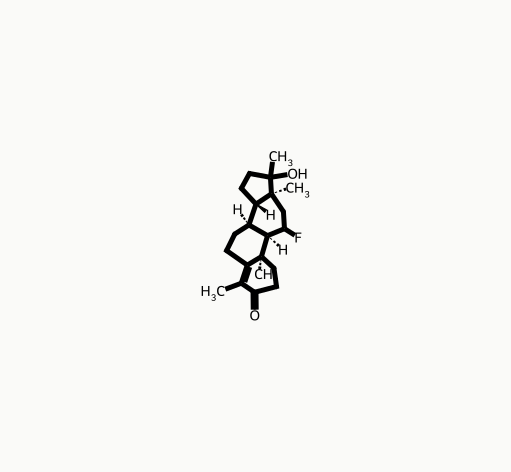 CC1=C2CC[C@@H]3[C@@H](C(F)C[C@@]4(C)[C@H]3CCC4(C)O)[C@@]2(C)CCC1=O